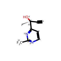 C#C[C@](C)(O)c1ccnc(C(F)(F)F)n1